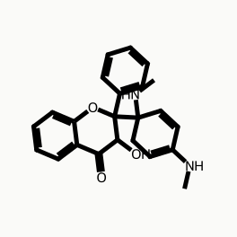 CNC1=CCC(NC)(C2(c3ccccc3)Oc3ccccc3C(=O)C2O)C=C1